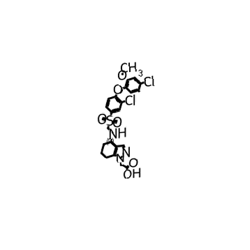 COc1cc(Cl)ccc1Oc1ccc(S(=O)(=O)CN[C@@H]2CCCc3c2cnn3CC(=O)O)cc1Cl